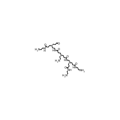 NCCNC(=O)CCN(CCC=O)CCNC(=O)CCN(CCN)CCC(=O)NCN(CCC(=O)NCCN)CCC(=O)NCCN